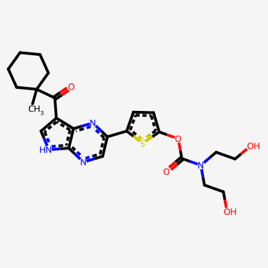 CC1(C(=O)c2c[nH]c3ncc(-c4ccc(OC(=O)N(CCO)CCO)s4)nc23)CCCCC1